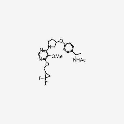 COc1c(OCC2CC2(F)F)ncnc1N1CC[C@@H](Oc2ccc([C@H](C)NC(C)=O)cc2)C1